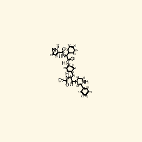 CCC(=O)NC(Cc1ccc(NC(=O)C(NC(=O)c2ccnn2C)C2CCCCC2)cc1)C(=O)N1CCNC(c2ccccc2)C1